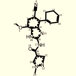 COc1cc(C#N)c(C2=CC=CCC2)c2nc(NC(=O)c3cnn(C)c3)[nH]c12